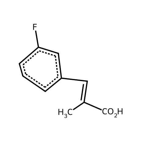 CC(=Cc1cccc(F)c1)C(=O)O